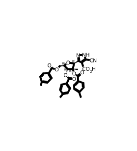 Cc1ccc(C(=O)OC[C@H]2O[C@@H](c3n[nH]c(C#N)c3C(=O)O)[C@](C)(OC(=O)c3ccc(C)cc3)[C@@H]2OC(=O)c2ccc(C)cc2)cc1